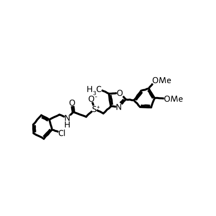 COc1ccc(-c2nc(C[S+]([O-])CC(=O)NCc3ccccc3Cl)c(C)o2)cc1OC